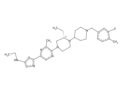 CCNc1cnc(-c2cnc(N3CCN(C4CCN(Cc5ccc(C)c(F)c5)CC4)[C@@H](CC)C3)c(C)n2)o1